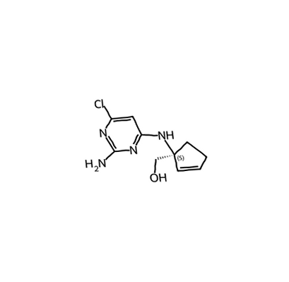 Nc1nc(Cl)cc(N[C@]2(CO)C=CCC2)n1